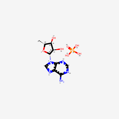 C[C@H]1O[C@@H](n2cnc3c(N)ncnc32)[C@H](O)[C@@H]1O.O=P(O)(O)O